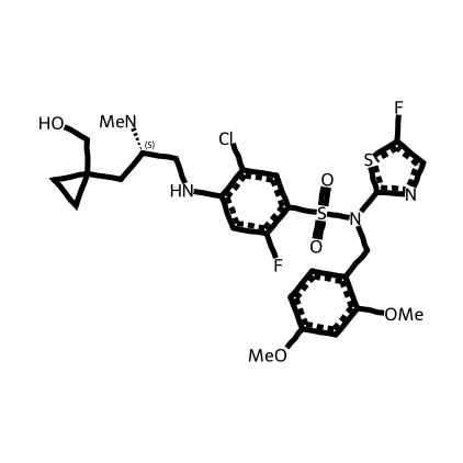 CN[C@H](CNc1cc(F)c(S(=O)(=O)N(Cc2ccc(OC)cc2OC)c2ncc(F)s2)cc1Cl)CC1(CO)CC1